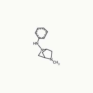 CN1CC2CC1CN2Nc1ccccc1